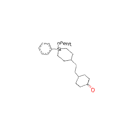 CCCCC[Si]1(c2ccccc2)CCC(CCC2CCC(=O)CC2)CC1